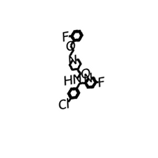 O=C(NC(c1ccc(Cl)cc1)c1ccc(F)cn1)C1CCN(CCOc2ccccc2F)CC1